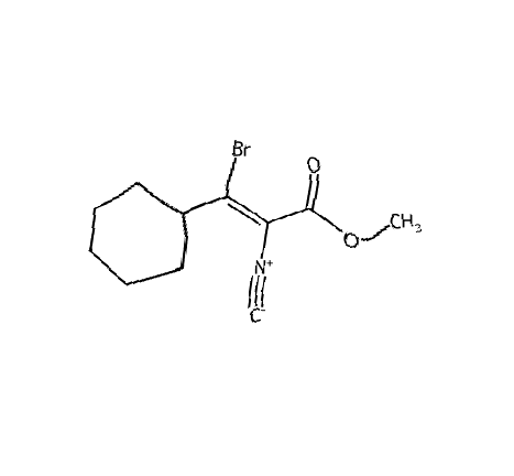 [C-]#[N+]C(C(=O)OC)=C(Br)C1CCCCC1